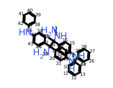 CC(NN)(c1ccc(Nc2ccccc2)cc1)C(N)(c1ccc(Nc2ccccc2)cc1)c1ccc(Nc2ccccc2)cc1